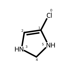 ClC1=CNCN1